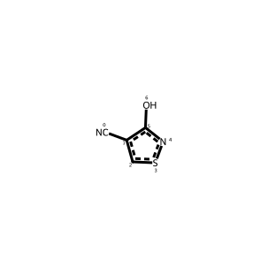 N#Cc1csnc1O